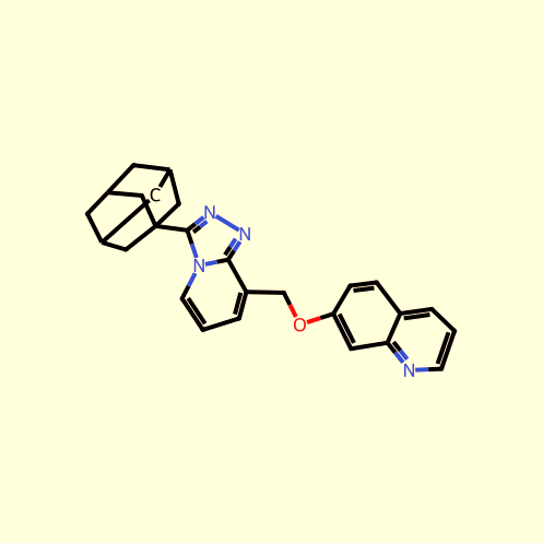 c1cnc2cc(OCc3cccn4c(C56CC7CC(CC(C7)C5)C6)nnc34)ccc2c1